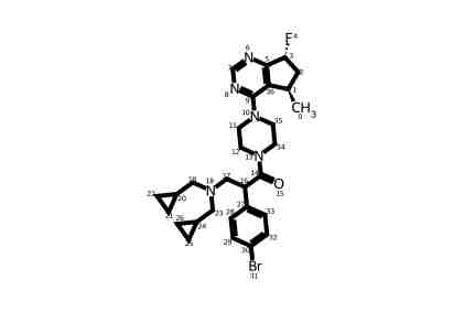 C[C@@H]1C[C@@H](F)c2ncnc(N3CCN(C(=O)C(CN(CC4CC4)CC4CC4)c4ccc(Br)cc4)CC3)c21